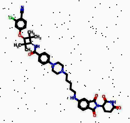 CC1(C)[C@H](NC(=O)c2ccc(N3CCN(CCCCCNc4ccc5c(c4)C(=O)N(C4CCC(=O)NC4=O)C5=O)CC3)cc2)C(C)(C)[C@H]1Oc1ccc(C#N)c(Cl)c1